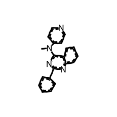 CN(c1ccncc1)c1nc(-c2ccccc2)nc2ccccc12